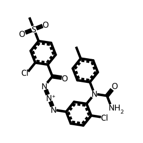 Cc1ccc(N(C(N)=O)c2cc(N=[N+]=NC(=O)c3ccc(S(C)(=O)=O)cc3Cl)ccc2Cl)cc1